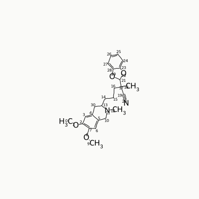 COc1cc2c(cc1OC)CN(C)C(CCCC(C)(C#N)C1Oc3ccccc3O1)C2